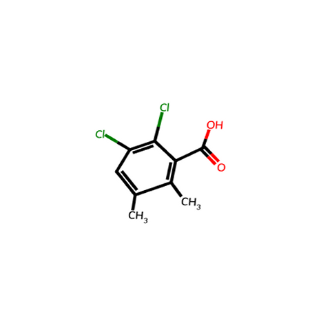 Cc1cc(Cl)c(Cl)c(C(=O)O)c1C